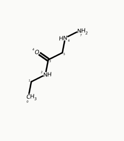 CCNC(=O)CNN